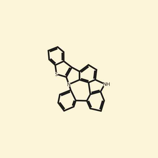 c1ccc2c(c1)sc1c2c2ccc3[nH]c4cccc5c6ccccc6n1c2c3c45